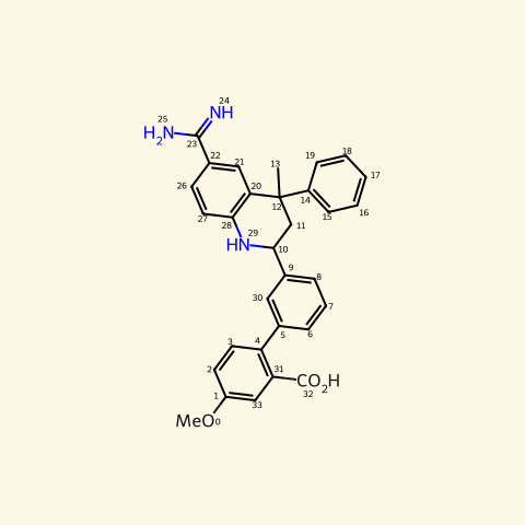 COc1ccc(-c2cccc(C3CC(C)(c4ccccc4)c4cc(C(=N)N)ccc4N3)c2)c(C(=O)O)c1